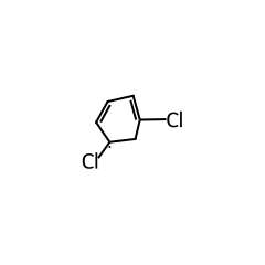 Cl[C]1C=CC=C(Cl)C1